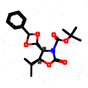 CC(C)[C@@H]1OC(=O)N(C(=O)OC(C)(C)C)[C@@H]1C1OC(c2ccccc2)O1